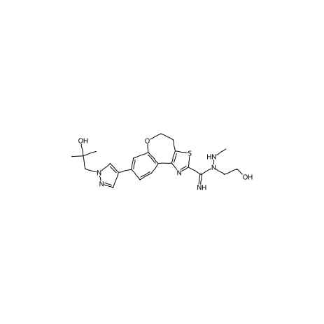 CNN(CCO)C(=N)c1nc2c(s1)CCOc1cc(-c3cnn(CC(C)(C)O)c3)ccc1-2